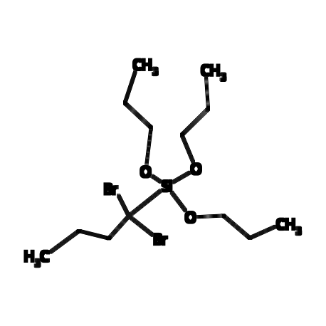 CCCO[Si](OCCC)(OCCC)C(Br)(Br)CCC